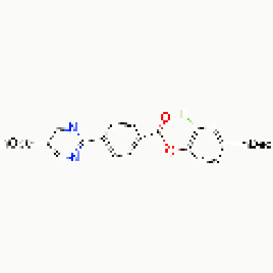 CCCCCCCCCCc1ccc(OC(=O)c2ccc(-c3ncc(CCCCCCCC)cn3)cc2)c(F)c1